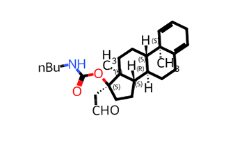 CCCCNC(=O)O[C@]1(CC=O)CC[C@H]2[C@@H]3CCC4=CCC=C[C@]4(C)[C@H]3CC[C@@]21C